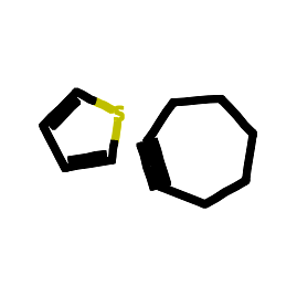 C1#CCCCCC1.c1ccsc1